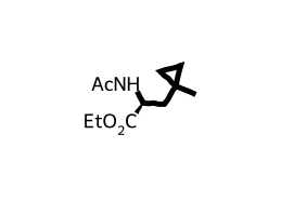 CCOC(=O)[C@H](CC1(C)CC1)NC(C)=O